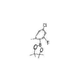 Cc1cc(Cl)cc(F)c1B1OC(C)(C)C(C)(C)O1